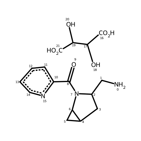 NCC1CC2CC2N1C(=O)c1ccccn1.O=C(O)C(O)C(O)C(=O)O